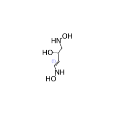 ON/C=C/C(O)CNO